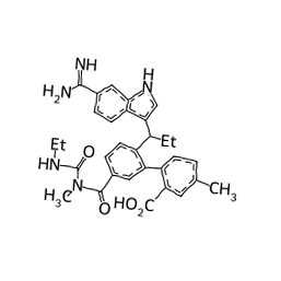 CCNC(=O)N(C)C(=O)c1ccc(C(CC)c2c[nH]c3cc(C(=N)N)ccc23)c(-c2ccc(C)cc2C(=O)O)c1